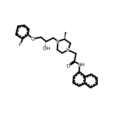 C[C@H]1CN(CC(=O)Nc2cccc3ccccc23)CCN1C[C@H](O)COc1ccccc1F